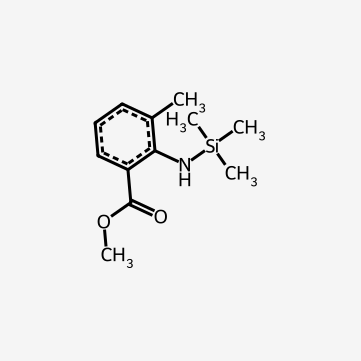 COC(=O)c1cccc(C)c1N[Si](C)(C)C